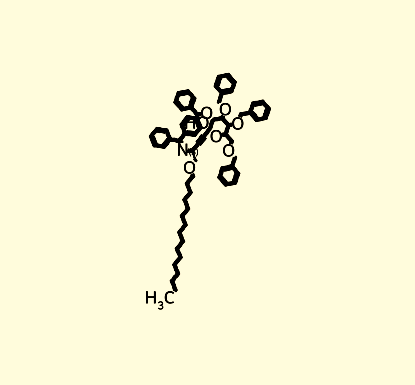 CCCCCCCCCCCCCCCCOC[C@H](C#CC1(O)OC(COCc2ccccc2)C(OCc2ccccc2)C(OCc2ccccc2)C1OCc1ccccc1)N=C(c1ccccc1)c1ccccc1